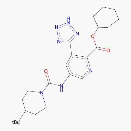 CC(C)(C)C1CCN(C(=O)Nc2cnc(C(=O)OC3CCCCC3)c(-c3nn[nH]n3)c2)CC1